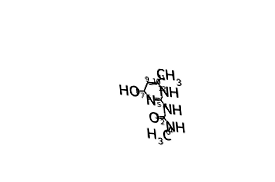 CNC(=O)NC1=NC(O)C=C(C)N1